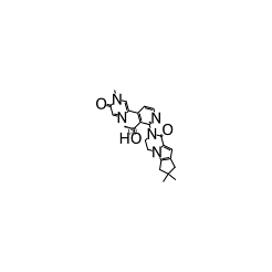 C[C@H](O)c1c(-c2cn(C)c(=O)cn2)ccnc1N1CCn2c(cc3c2CC(C)(C)C3)C1=O